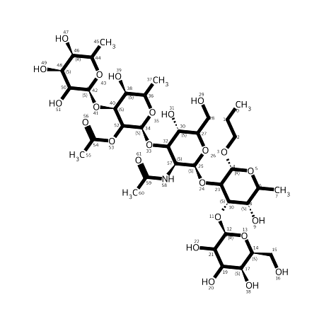 CCCO[C@@H]1OC(C)[C@H](O)[C@H](O[C@H]2O[C@@H](CO)[C@@H](O)C(O)C2O)C1O[C@@H]1OC(CO)[C@@H](O)C(O[C@@H]2OC(C)[C@H](O)[C@H](O[C@@H]3OC(C)[C@H](O)[C@H](O)C3O)C2OC(C)=O)[C@@H]1NC(C)=O